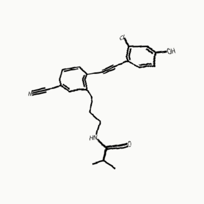 CC(C)C(=O)NCCCc1cc(C#N)ccc1C#Cc1ccc(O)cc1Cl